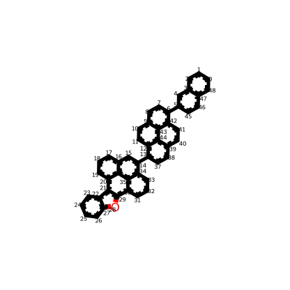 c1ccc2cc(-c3ccc4ccc5c(-c6cc7cccc8c9c%10ccccc%10oc9c9cccc6c9c78)ccc6ccc3c4c65)ccc2c1